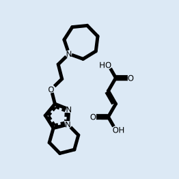 O=C(O)C=CC(=O)O.c1c(OCCN2CCCCCC2)nn2c1CCCC2